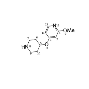 COc1cc(OC2CCNCC2)ccn1